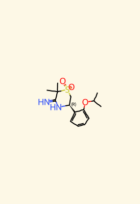 CC(C)Oc1ccccc1[C@@H]1CS(=O)(=O)C(C)(C)C(=N)N1